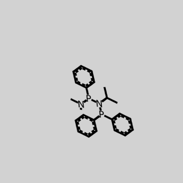 CC(C)N(P(c1ccccc1)c1ccccc1)P(c1ccccc1)N(C)C